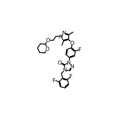 Cc1nn(CCOC2CCCCO2)c(C)c1Oc1ccc(-n2ncn(Cc3c(F)cccc3F)c2=O)cc1F